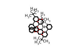 CC(C)(C)c1ccc(-c2ccccc2N(c2ccccc2-c2cccc3cccc(-c4cc(C(C)(C)C)cc(C(C)(C)C)c4)c23)c2cccc3c2sc2ccccc23)cc1